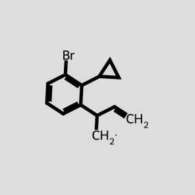 [CH2]C(C=C)c1cccc(Br)c1C1CC1